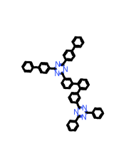 c1ccc(-c2ccc(-c3nc(-c4ccc(-c5ccccc5)cc4)nc(-c4cccc(-c5ccccc5-c5cccc(-c6nc(-c7ccccc7)nc(-c7ccccc7)n6)c5)c4)n3)cc2)cc1